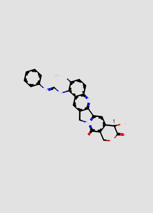 CC[C@@]1(O)C(=O)OCc2c1cc1n(c2=O)Cc2cc3c(NC=Nc4ccccc4)c(OC)ccc3nc2-1